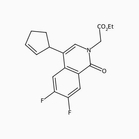 CCOC(=O)Cn1cc(C2C=CCC2)c2cc(F)c(F)cc2c1=O